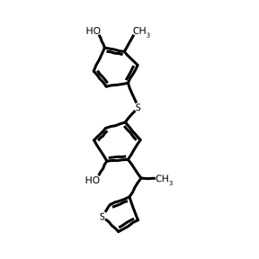 Cc1cc(Sc2ccc(O)c(C(C)c3ccsc3)c2)ccc1O